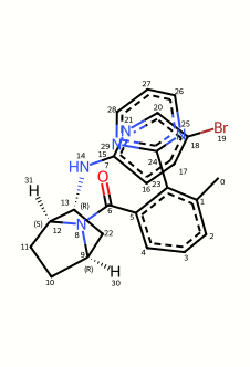 Cc1cccc(C(=O)N2[C@@H]3CC[C@H]2[C@H](Nc2ccc(Br)cn2)C3)c1-c1ncccn1